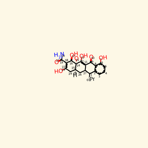 CC(C)C1c2cccc(O)c2C(=O)C2=C(O)[C@]3(O)C(=O)C(C(N)=O)=C(O)C[C@@H]3CC21